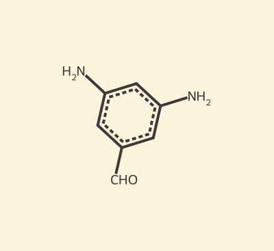 Nc1cc(N)cc(C=O)c1